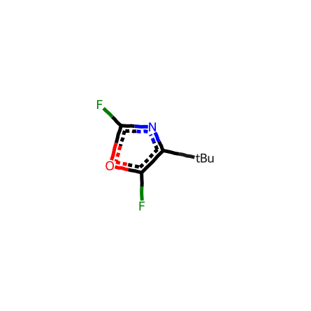 CC(C)(C)c1nc(F)oc1F